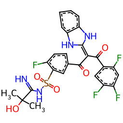 CC(C)(O)C(=N)NS(=O)(=O)c1cc(C(=O)C(C(=O)c2cc(F)c(F)cc2F)=C2Nc3ccccc3N2)ccc1F